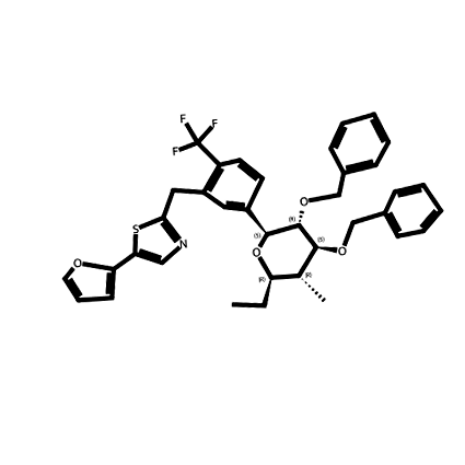 CC[C@H]1O[C@@H](c2ccc(C(F)(F)F)c(Cc3ncc(-c4ccco4)s3)c2)[C@H](OCc2ccccc2)[C@@H](OCc2ccccc2)[C@@H]1C